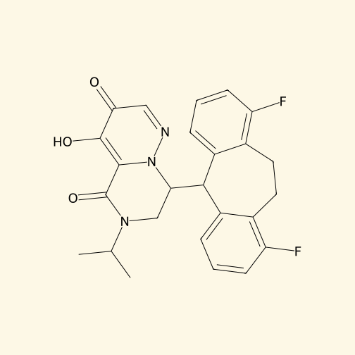 CC(C)N1CC(C2c3cccc(F)c3CCc3c(F)cccc32)n2ncc(=O)c(O)c2C1=O